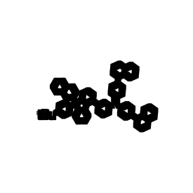 CC(C)(C)c1ccc(C2(c3ccc4ccccc4c3)c3ccccc3-c3c(-c4cccc(N(c5ccc(-c6cccc7ccccc67)cc5)c5ccc(-c6cccc7ccccc67)cc5)c4)cccc32)cc1